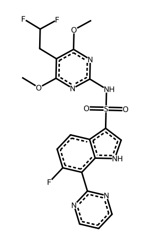 COc1nc(NS(=O)(=O)c2c[nH]c3c(-c4ncccn4)c(F)ccc23)nc(OC)c1CC(F)F